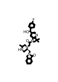 CC1CN(CC(=O)N2CC(C)(C)c3ncc([C@@H](O)c4ccc(F)cc4)cc32)[C@@H](CN2Cc3ccccc3C2=O)CN1